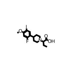 CCC(C(=O)O)N1CCC(c2cc(I)c(OC)cc2F)CC1